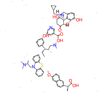 CC(CN1c2ccccc2Sc2ccccc21)N(C)C.CC[C@@H](c1cccc(O)c1)[C@@H](C)CN(C)C.COc1ccc2cc([C@H](C)C(=O)O)ccc2c1.O=C(O)c1cccnc1.O=C1CC[C@@]2(O)[C@H]3Cc4ccc(O)c5c4[C@@]2(CCN3CC2CC2)[C@H]1O5